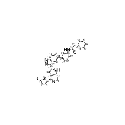 Cc1ccc(-c2nccc3[nH]c(-c4n[nH]c5ccc(-c6cncc(NC(=O)Cc7ccccc7)c6)cc45)cc23)s1